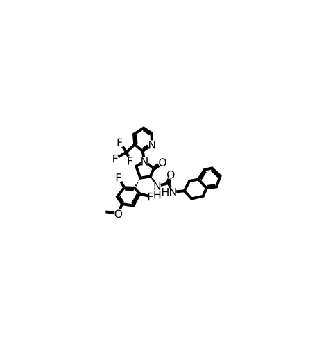 COc1cc(F)c([C@@H]2CN(c3ncccc3C(F)(F)F)C(=O)[C@H]2NC(=O)NC2CCc3ccccc3C2)c(F)c1